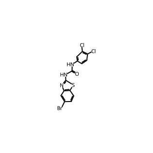 O=C(Nc1ccc(Cl)c(Cl)c1)Nc1nc2cc(Br)ccc2s1